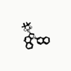 CC1(C)OB(c2cn(-c3ccc4ccccc4c3)c3c2ccc2ccccc23)OC1(C)C